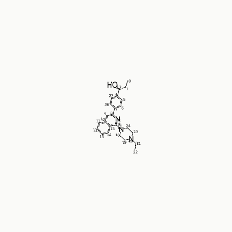 CCC(O)c1ccc(-c2cc3ccccc3c(N3CCN(CC)CC3)n2)cc1